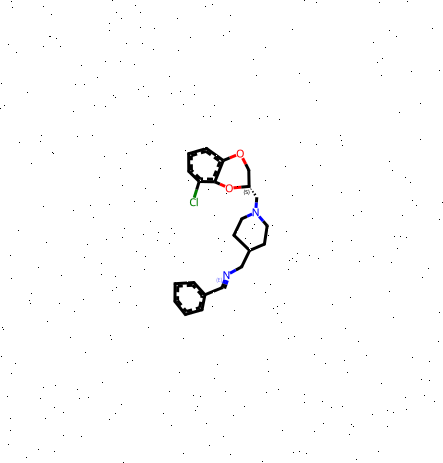 Clc1cccc2c1O[C@@H](CN1CCC(C/N=C/c3ccccc3)CC1)CO2